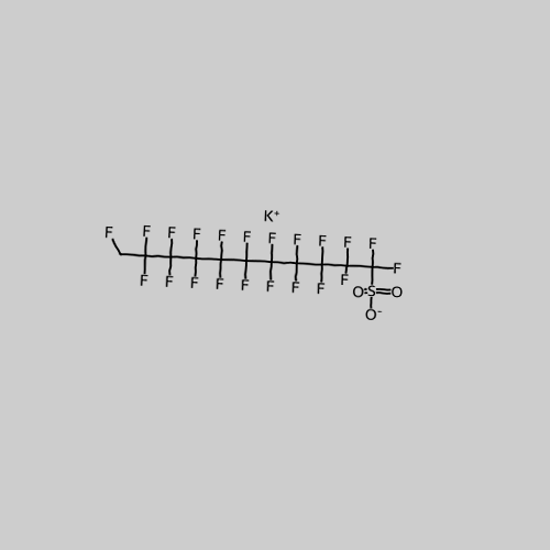 O=S(=O)([O-])C(F)(F)C(F)(F)C(F)(F)C(F)(F)C(F)(F)C(F)(F)C(F)(F)C(F)(F)C(F)(F)C(F)(F)CF.[K+]